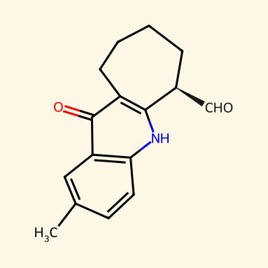 Cc1ccc2[nH]c3c(c(=O)c2c1)CCCC[C@H]3C=O